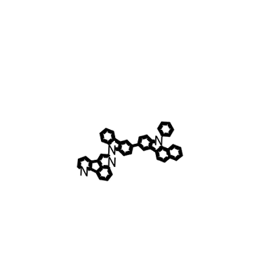 c1ccc(-n2c3ccc(-c4ccc5c(c4)c4ccccc4n5-c4cc5c6c(cccc6n4)-c4ncccc4-5)cc3c3ccc4ccccc4c32)cc1